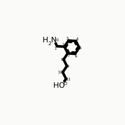 NCc1ccccc1CCCCO